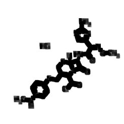 CN[n+]1ccc(SCC2=C(C(=O)Cl)N3C(=O)[C@@H](NC(=O)/C(=N\OC)c4csc(N)n4)[C@H]3SC2)cc1.Cl